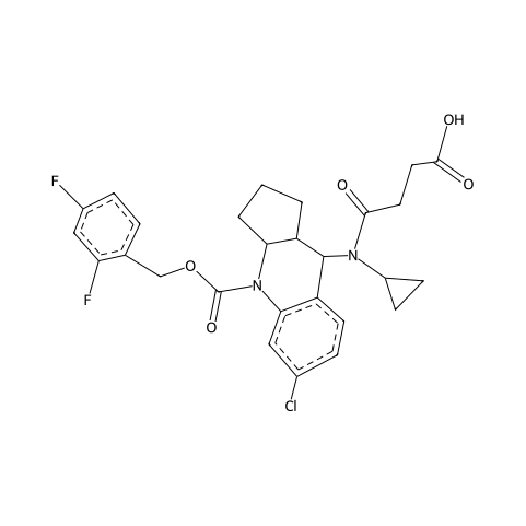 O=C(O)CCC(=O)N(C1CC1)C1c2ccc(Cl)cc2N(C(=O)OCc2ccc(F)cc2F)C2CCCC21